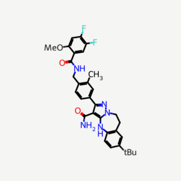 COc1cc(F)c(F)cc1C(=O)NCc1ccc(-c2nn3c(c2C(N)=O)Nc2ccc(C(C)(C)C)cc2CC3)cc1C